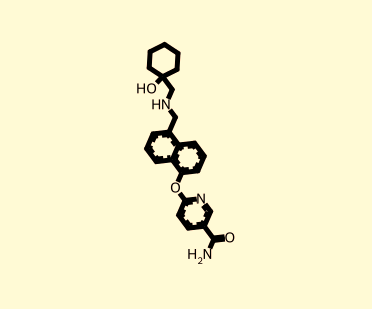 NC(=O)c1ccc(Oc2cccc3c(CNCC4(O)CCCCC4)cccc23)nc1